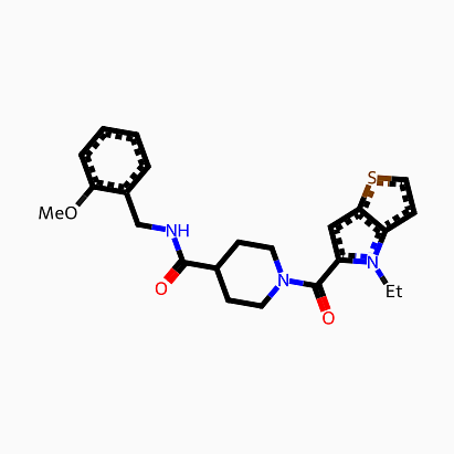 CCn1c(C(=O)N2CCC(C(=O)NCc3ccccc3OC)CC2)cc2sccc21